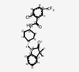 CC1(C)C(=O)N(C[C@H]2CC[C@H](NC(=O)c3cc(C(F)(F)F)ccc3Cl)CC2)c2ccccc21